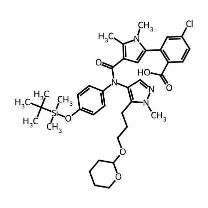 Cc1c(C(=O)N(c2ccc(O[Si](C)(C)C(C)(C)C)cc2)c2cnn(C)c2CCCOC2CCCCO2)cc(-c2cc(Cl)ccc2C(=O)O)n1C